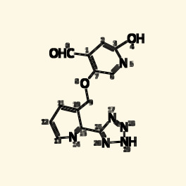 O=Cc1cc(O)ncc1OCc1cccnc1-c1nn[nH]n1